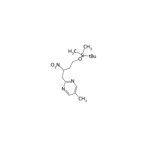 Cc1cnc(CC(CCO[Si](C)(C)C(C)(C)C)[N+](=O)[O-])nc1